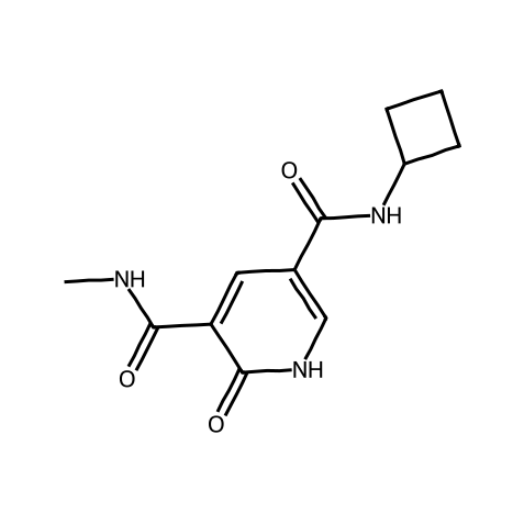 CNC(=O)c1cc(C(=O)NC2CCC2)c[nH]c1=O